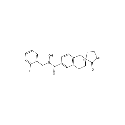 O=C(c1ccc2c(c1)CC[C@]1(CCNC1=O)C2)N(O)Cc1ccccc1F